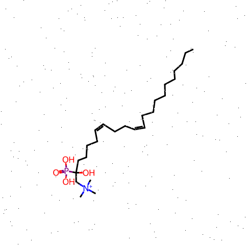 CCCCCCCCCC/C=C\CC/C=C\CCCCC(O)(C[N+](C)(C)C)P(=O)(O)O